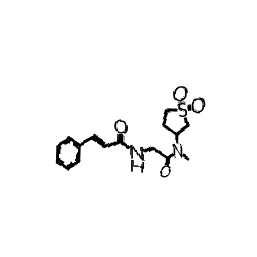 CN(C(=O)CNC(=O)/C=C/c1ccccc1)C1CCS(=O)(=O)C1